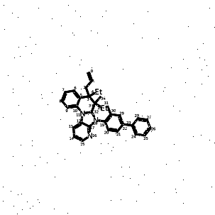 C=CCC1(CC)c2ccccc2N2c3cccnc3N(c3ccc(-c4ccccc4)cc3C)C2C1(C)CC